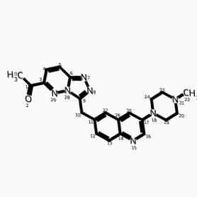 CC(=O)c1ccc2nnc(Cc3ccc4ncc(N5CCN(C)CC5)cc4c3)n2n1